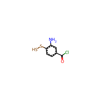 Nc1cc(C(=O)Cl)ccc1SS